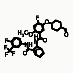 COc1cc(F)c(OC2CCC(C=O)CC2)cc1C(=O)NC1C2C=CC(C2)C1C(=O)Nc1ccc(F)c(C(F)(F)F)c1